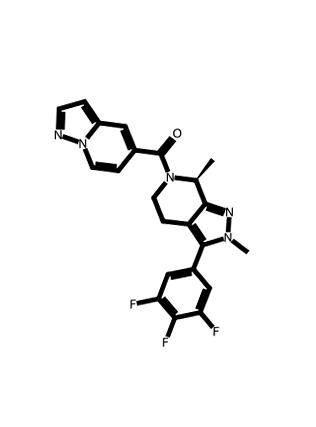 C[C@H]1c2nn(C)c(-c3cc(F)c(F)c(F)c3)c2CCN1C(=O)c1ccn2nccc2c1